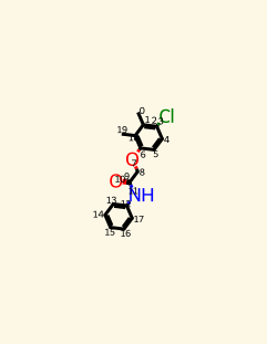 Cc1c(Cl)ccc(OCC(=O)Nc2ccccc2)c1C